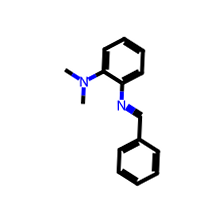 CN(C)c1ccccc1/N=C/c1ccccc1